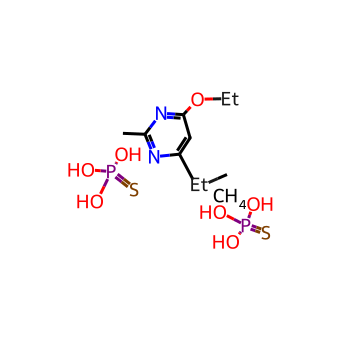 C.CCC.CCOc1cc(C)nc(C)n1.OP(O)(O)=S.OP(O)(O)=S